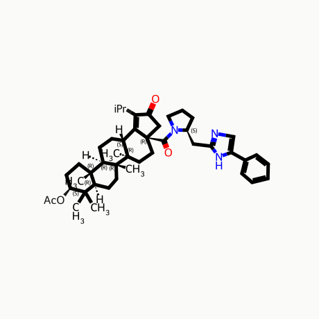 CC(=O)O[C@H]1CC[C@]2(C)[C@H]3CC[C@@H]4C5=C(C(C)C)C(=O)C[C@]5(C(=O)N5CCC[C@H]5Cc5ncc(-c6ccccc6)[nH]5)CC[C@@]4(C)[C@]3(C)CC[C@H]2C1(C)C